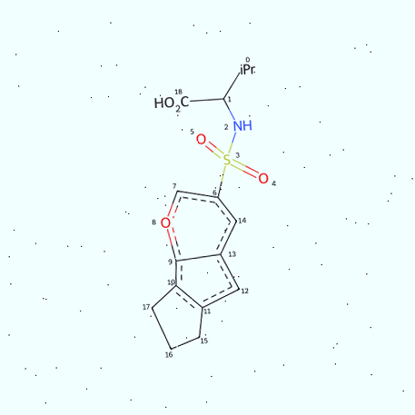 CC(C)C(NS(=O)(=O)c1coc2c3c(cc-2c1)CCC3)C(=O)O